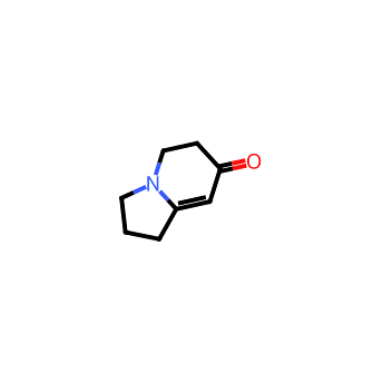 O=C1C=C2CCCN2CC1